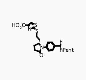 CCCCC[C@H](F)c1ccc(N2C(=O)CC[C@@H]2CCSc2nc(C(=O)O)cs2)cc1